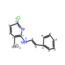 O=[N+]([O-])c1ccc(Cl)nc1NC=Cc1ccccc1